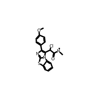 COc1ccc(-c2nc3sc4ccccc4n3c2C(Cl)C(=O)N(C)C)cc1